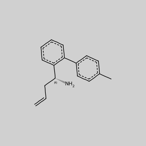 C=CC[C@@H](N)c1ccccc1-c1ccc(C)cc1